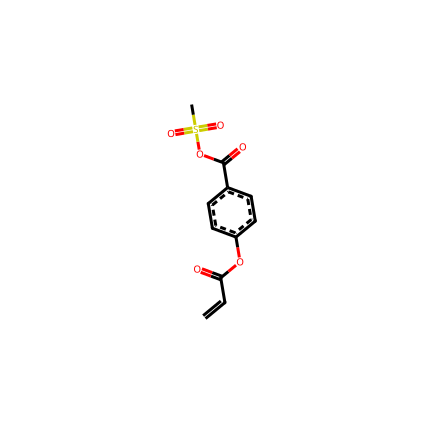 C=CC(=O)Oc1ccc(C(=O)OS(C)(=O)=O)cc1